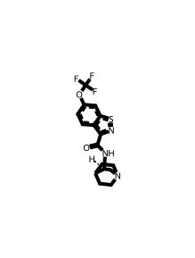 O=C(N[C@H]1CN2CCC1CC2)c1nsc2cc(OC(F)(F)F)ccc12